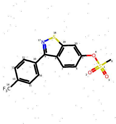 CS(=O)(=O)Oc1ccc2c(-c3ccc(C(F)(F)F)cc3)nsc2c1